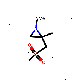 CNN1CC1(C)CS(C)(=O)=O